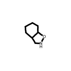 C1CCC2ONCC2C1